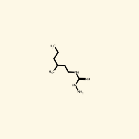 CCCC(C)CCNC(=N)NN